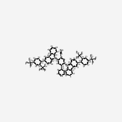 N#Cc1cc(-n2c3ccccc3c3cc(-c4ccc(C(F)(F)F)cc4C(F)(F)F)ccc32)c(-c2ccncc2)cc1-n1c2ccccc2c2cc(-c3ccc(C(F)(F)F)cc3C(F)(F)F)ccc21